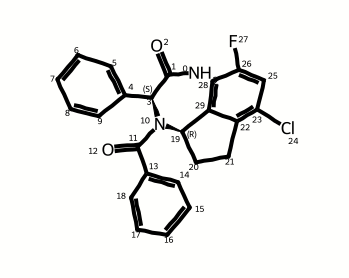 NC(=O)[C@H](c1ccccc1)N(C(=O)c1ccccc1)[C@@H]1CCc2c(Cl)cc(F)cc21